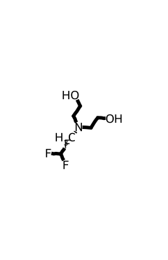 CN(CCO)CCO.FC(F)F